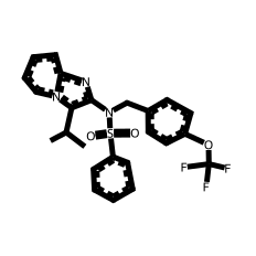 CC(C)c1c(N(Cc2ccc(OC(F)(F)F)cc2)S(=O)(=O)c2ccccc2)nc2ccccn12